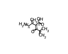 C=C(C)C(=O)C(C(=O)O)C(C)CN